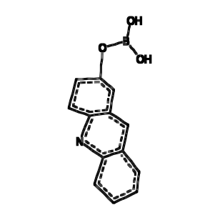 OB(O)Oc1ccc2nc3ccccc3cc2c1